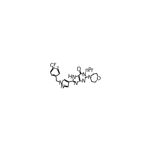 CCCn1c(N2CCOCC2)nc2nc(-c3cnn(Cc4ccc(C(F)(F)F)cc4)c3)[nH]c2c1=O